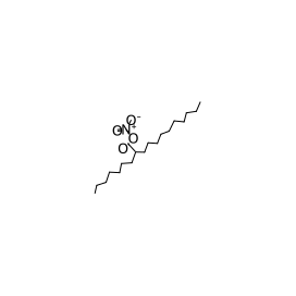 CCCCCCCCCCC(CCCCCCC)C(=O)O[N+](=O)[O-]